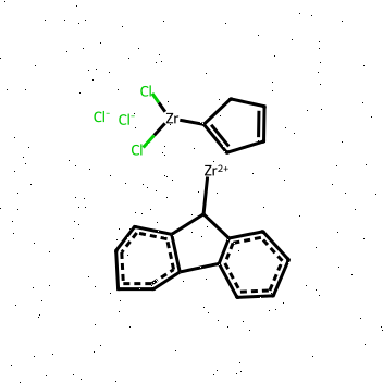 [Cl-].[Cl-].[Cl][Zr]([Cl])[C]1=CC=CC1.[Zr+2][CH]1c2ccccc2-c2ccccc21